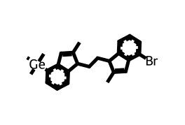 CC1=Cc2c(Br)cccc2C1CCC1C(C)=Cc2c1ccc[c]2[Ge]([CH3])([CH3])[CH3]